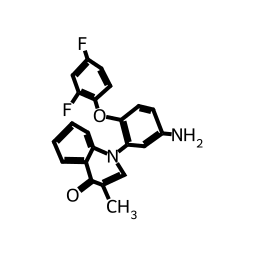 Cc1cn(-c2cc(N)ccc2Oc2ccc(F)cc2F)c2ccccc2c1=O